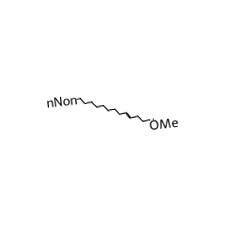 CCCCCCCCCCCCCCCCCC=CCC[CH]OC